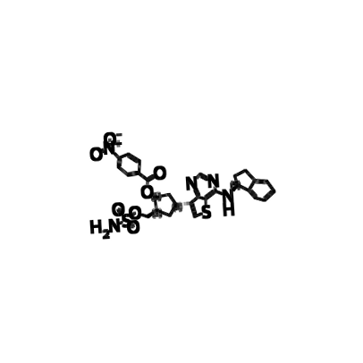 NS(=O)(=O)OC[C@@H]1C[C@@H](c2csc3c(N[C@H]4CCc5ccccc54)ncnc23)C[C@@H]1OC(=O)c1ccc([N+](=O)[O-])cc1